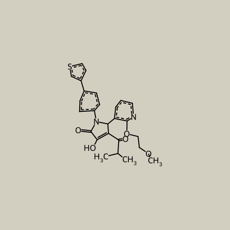 COCCOc1ncccc1C1C(C(=O)C(C)C)=C(O)C(=O)N1c1ccc(-c2ccsc2)cc1